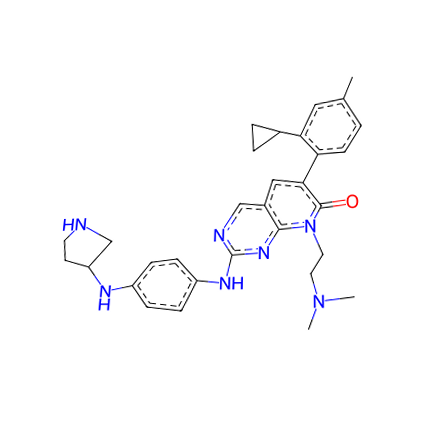 Cc1ccc(-c2cc3cnc(Nc4ccc(NC5CCNC5)cc4)nc3n(CCN(C)C)c2=O)c(C2CC2)c1